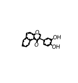 O=c1c(-c2ccc(O)c(O)c2)coc2ccc3ccccc3c12